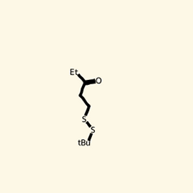 CCC(=O)CCSSC(C)(C)C